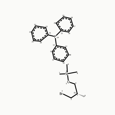 C[C@H](CBr)CO[Si](C)(C)C.c1ccc(P(c2ccccc2)c2ccccc2)cc1